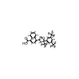 O=C(O)c1ccc(C2=NOC(c3cc(C(F)(F)F)cc(C(F)(F)F)c3)(C(F)(F)F)C2)c2ccccc12